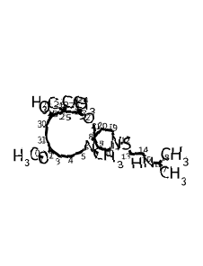 COC1CCCN(C)C2(CCN(SCCNC(C)C)CC2)COC(=O)C(C)(C)C(=O)CC1